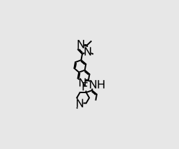 C/C=C(/Nc1cc2cc(-c3cnc(C)n3C)ccc2cn1)C1(F)CCN(C)CC1